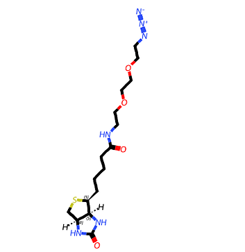 [N-]=[N+]=NCCOCCOCCNC(=O)CCCC[C@@H]1SC[C@@H]2NC(=O)N[C@@H]21